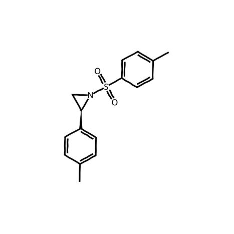 Cc1ccc([C@H]2CN2S(=O)(=O)c2ccc(C)cc2)cc1